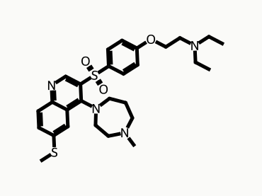 CCN(CC)CCOc1ccc(S(=O)(=O)c2cnc3ccc(SC)cc3c2N2CCCN(C)CC2)cc1